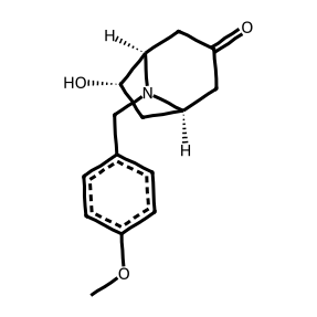 COc1ccc(CN2[C@H]3CC(=O)C[C@@H]2[C@@H](O)C3)cc1